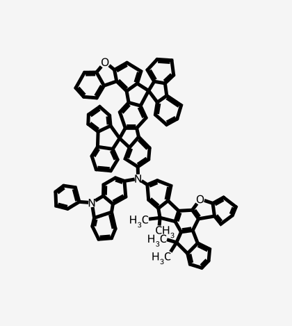 CC1(C)c2cc(N(c3ccc4c(c3)C3(c5ccccc5-c5ccccc53)c3cc5c(cc3-4)C3(c4ccccc4-c4ccccc43)c3ccc4oc6ccccc6c4c3-5)c3ccc4c(c3)c3ccccc3n4-c3ccccc3)ccc2-c2c1c1c(c3c2oc2ccccc23)-c2ccccc2C1(C)C